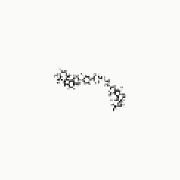 Cc1cc(N2CCN(CC3CN(c4ccc5c(c4)n(C)c(=O)n5C4CCC(=O)NC4=O)C3)CC2)ccc1-c1ccc2c(ccc3sc4c(c32)NC[C@@H](C)NC4=O)n1